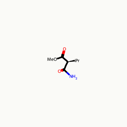 COC(=O)[C@H](C(N)=O)C(C)C